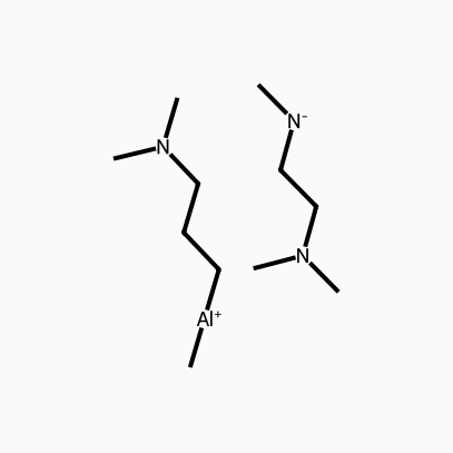 C[N-]CCN(C)C.[CH3][Al+][CH2]CCN(C)C